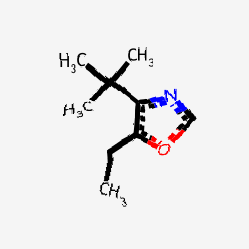 CCc1ocnc1C(C)(C)C